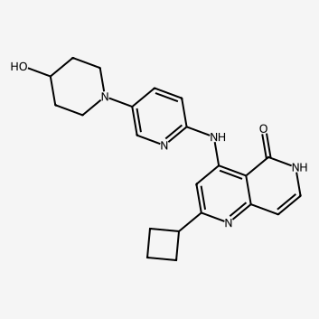 O=c1[nH]ccc2nc(C3CCC3)cc(Nc3ccc(N4CCC(O)CC4)cn3)c12